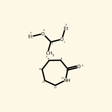 CCOC(C)OCC.O=C1CCCCCN1